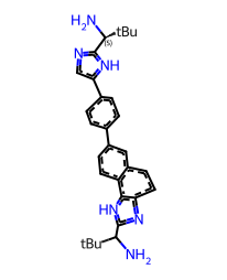 CC(C)(C)C(N)c1nc2ccc3cc(-c4ccc(-c5cnc([C@@H](N)C(C)(C)C)[nH]5)cc4)ccc3c2[nH]1